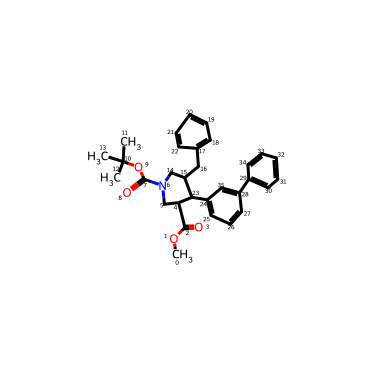 COC(=O)C1CN(C(=O)OC(C)(C)C)CC(Cc2ccccc2)C1c1cccc(-c2ccccc2)c1